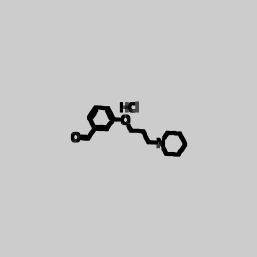 Cl.O=Cc1cccc(OCCCN2CCCCC2)c1